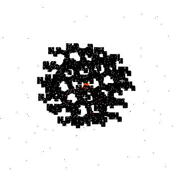 BB(B)B(B)B(B(B(B)B)B(B)B)B(B(B(B)B)B(B)B)B(B(B(B(B(B)B)B(B)B)B(B(B)B)B(B)B)B(B(B(B)B)B(B)B)B(B(B)B)B(B)B)P(B(B(B(B(B)B)B(B)B)B(B(B)B)B(B)B)B(B(B(B)B)B(B)B)B(B(B)B)B(B)B)B(B(B(B(B)B)B(B)B)B(B(B)B)B(B)B)B(B(B(B)B)B(B)B)B(B(B)B)B(B)B